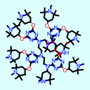 CN1C(C)(C)CC(Oc2nc(OC3CC(C)(C)N(C)C(C)(C)C3)nc(N(CCN(CCN(c3nc(OC4CC(C)(C)N(C)C(C)(C)C4)nc(OC4CC(C)(C)N(C)C(C)(C)C4)n3)C3CC(C)(C)NC(C)(C)C3)c3nc(OC4CC(C)(C)N(C)C(C)(C)C4)nc(OC4CC(C)(C)N(C)C(C)(C)C4)n3)CCN(c3nc(OC4CC(C)(C)N(C)C(C)(C)C4)nc(OC4CC(C)(C)N(C)C(C)(C)C4)n3)C3CC(C)(C)NC(C)(C)C3)n2)CC1(C)C